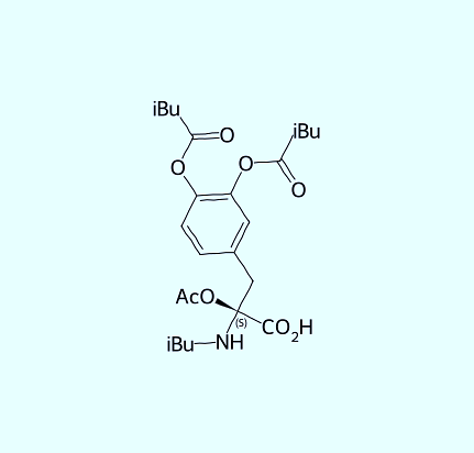 CCC(C)N[C@@](Cc1ccc(OC(=O)C(C)CC)c(OC(=O)C(C)CC)c1)(OC(C)=O)C(=O)O